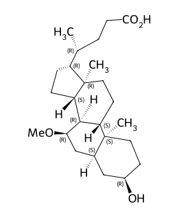 CO[C@@H]1C[C@@H]2C[C@H](O)CC[C@]2(C)[C@H]2CC[C@]3(C)[C@@H]([C@H](C)CCC(=O)O)CC[C@H]3[C@H]12